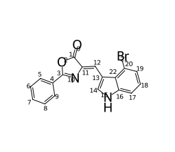 O=C1OC(c2ccccc2)=NC1=Cc1c[nH]c2cccc(Br)c12